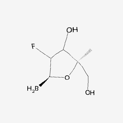 B[C@@H]1O[C@](C)(CO)C(O)C1F